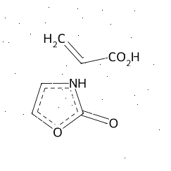 C=CC(=O)O.O=c1[nH]cco1